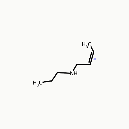 C/C=C\CNCCC